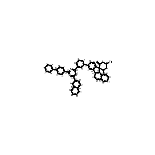 C=C1CC(CC)CC(C)C12c1ccc(-c3cccc(-c4nc(-c5ccc(-c6ccccc6)cc5)nc(-c5ccc6ccccc6c5)n4)c3)cc1-c1ccc3ccccc3c12